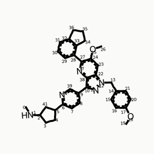 CNC1CCC(c2ccc(-c3nn(Cc4ccc(OC)cc4)c4cc(OC)c(-c5cccc6c5CCC6)nc34)cn2)C1